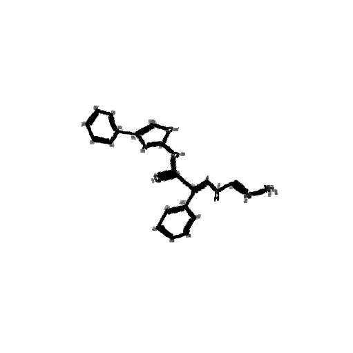 NN=CNC=C(C(=O)Oc1nc(-c2ccccc2)co1)c1ccccc1